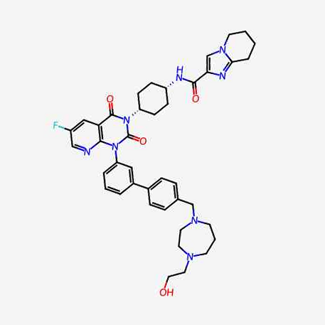 O=C(N[C@H]1CC[C@@H](n2c(=O)c3cc(F)cnc3n(-c3cccc(-c4ccc(CN5CCCN(CCO)CC5)cc4)c3)c2=O)CC1)c1cn2c(n1)CCCC2